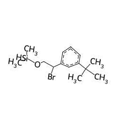 C[SiH](C)OCC(Br)c1cccc(C(C)(C)C)c1